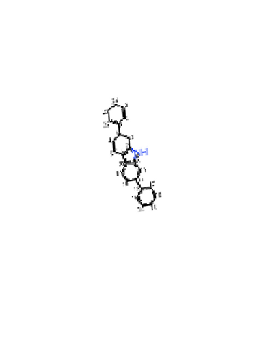 C1=CC(C2C=Cc3c([nH]c4cc(-c5ccccc5)ccc34)C2)=CCC1